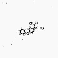 O=CC(c1ccc(Oc2ccccc2)cc1)C(Cl)Cl